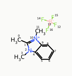 Cc1n(C)c2ccccc2[n+]1C.F[B-](F)(F)F